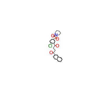 O=C(CCC(=O)c1cc(S(=O)(=O)N2CCCCC2)ccc1Cl)c1ccc2ccccc2c1